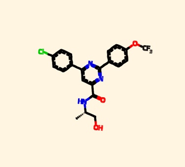 C[C@@H](CO)NC(=O)c1cc(-c2ccc(Cl)cc2)nc(-c2ccc(OC(F)(F)F)cc2)n1